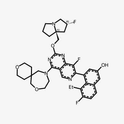 CCc1c(F)ccc2cc(O)cc(-c3ncc4c(N5CCOCC6(CCOCC6)C5)nc(OC[C@@]56CCCN5C[C@H](F)C6)nc4c3F)c12